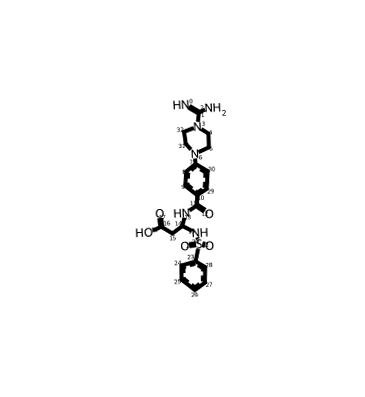 N=C(N)N1CCN(c2ccc(C(=O)NC(CC(=O)O)NS(=O)(=O)c3ccccc3)cc2)CC1